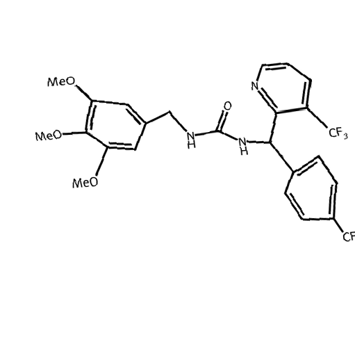 COc1cc(CNC(=O)NC(c2ccc(C(F)(F)F)cc2)c2ncccc2C(F)(F)F)cc(OC)c1OC